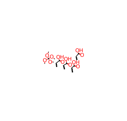 C=CC(=O)O.C=CC(=O)O.C=CC(=O)O.C=CC(=O)O.COC(OC)(OC)OC